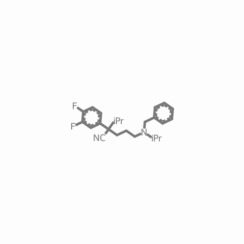 CC(C)N(CCCC(C#N)(c1ccc(F)c(F)c1)C(C)C)Cc1ccccc1